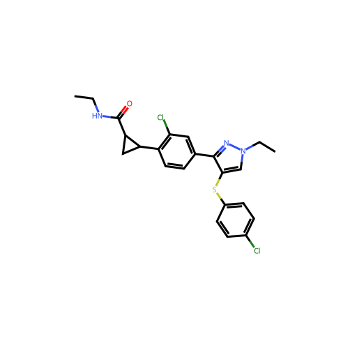 CCNC(=O)C1CC1c1ccc(-c2nn(CC)cc2Sc2ccc(Cl)cc2)cc1Cl